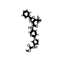 COC(=O)NC1CCN(c2ccc(NC(=O)c3nc(-c4ccccc4)oc3C(F)(F)F)cn2)C1